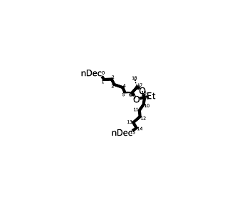 CCCCCCCCCCCCCCC[C@@H]1O[C@](CC)(CCCCCCCCCCCCCCC)O[C@H]1C